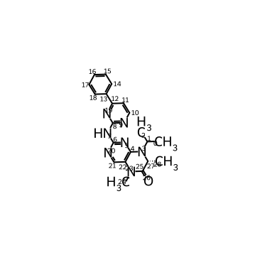 CC(C)N1c2nc(Nc3nccc(-c4ccccc4)n3)ncc2N(C)C(=O)[C@H]1C